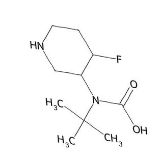 CC(C)(C)N(C(=O)O)C1CNCCC1F